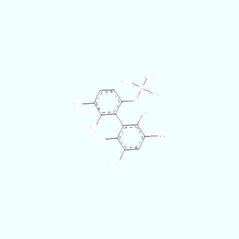 CCCCc1cc(C)c(C)c(-c2c(O[Si](C)(C)C)ccc(C)c2C)c1O